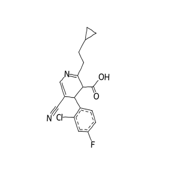 N#CC1=CN=C(CCC2CC2)C(C(=O)O)C1c1ccc(F)cc1Cl